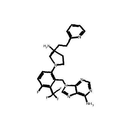 Nc1ncnc2c1ncn2Cc1c(N2CCC(N)(CCc3ccccn3)C2)ccc(F)c1C(F)(F)F